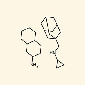 C1C2CC3CC1CC(CNC1CC1)(C2)C3.NC1CCC2CCCCC2C1